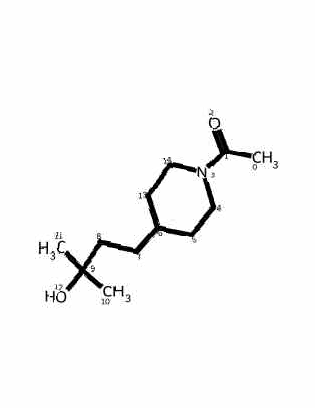 CC(=O)N1CCC(CCC(C)(C)O)CC1